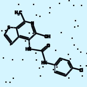 Cc1nc(O)c(NC(=O)Nc2ccc(Cl)cc2)c2ccsc12